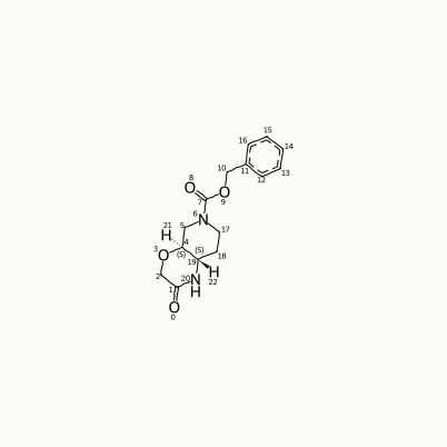 O=C1CO[C@H]2CN(C(=O)OCc3ccccc3)CC[C@@H]2N1